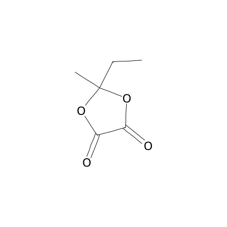 CCC1(C)OC(=O)C(=O)O1